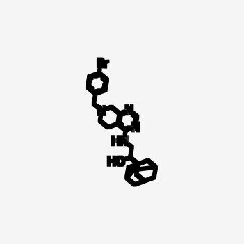 OC(CNc1ncnc2c1CCN(Cc1ccc(Br)cc1)C2)C12CC3CC(CC(C3)C1)C2